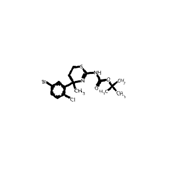 CC(C)(C)OC(=O)NC1=NC(C)(c2cc(Br)ccc2Cl)CCS1